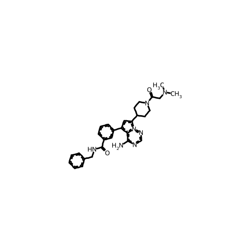 CN(C)CC(=O)N1CCC(c2cc(-c3cccc(C(=O)NCc4ccccc4)c3)c3c(N)ncnn23)CC1